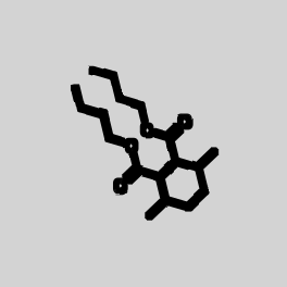 CCCCOC(=O)C1C(C)CCC(C)C1C(=O)OCCCC